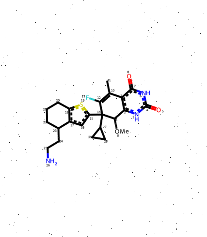 COC1c2[nH]c(=O)[nH]c(=O)c2C(C)=C(F)C1(c1cc2c(s1)CCCC2CCN)C1CC1